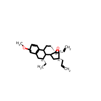 C=CC[C@@H]1CC2C3C(CC[C@@]24O[C@@]14C=C)c1ccc(OC)cc1C[C@H]3CC